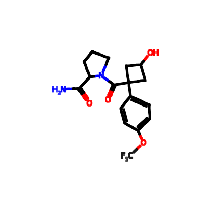 NC(=O)C1CCCN1C(=O)C1(c2ccc(OC(F)(F)F)cc2)CC(O)C1